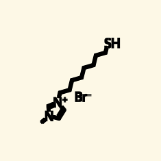 Cn1cc[n+](CCCCCCCCS)c1.[Br-]